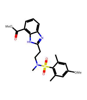 COC(=O)c1cccc2nc(CCN(C)S(=O)(=O)c3c(C)cc(OC)cc3C)[nH]c12